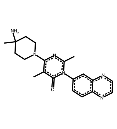 Cc1c(N2CCC(C)(N)CC2)nc(C)n(-c2ccc3nccnc3c2)c1=O